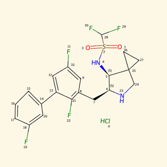 Cl.O=S(=O)(N[C@@H]1[C@H](Cc2cc(F)cc(-c3cccc(F)c3)c2F)NCC12CC2)C(F)F